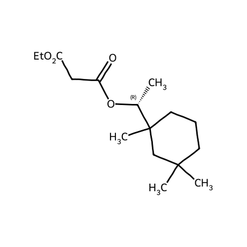 CCOC(=O)CC(=O)O[C@H](C)C1(C)CCCC(C)(C)C1